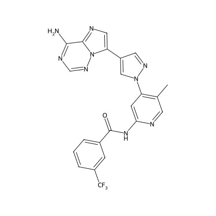 Cc1cnc(NC(=O)c2cccc(C(F)(F)F)c2)cc1-n1cc(-c2cnc3c(N)ncnn23)cn1